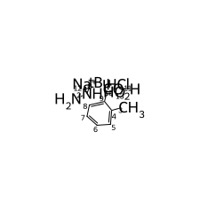 CC(C)(C)NN.Cc1ccccc1C(=O)O.Cl.[Na+].[OH-]